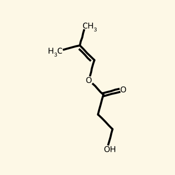 CC(C)=COC(=O)CCO